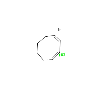 C1=CCCCCC=C1.Cl.[Ir]